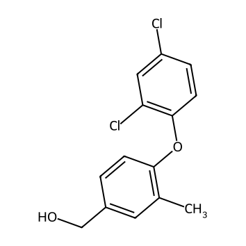 Cc1cc(CO)ccc1Oc1ccc(Cl)cc1Cl